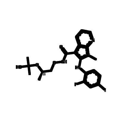 C[C@H](CONC(=O)c1c(Nc2ccc(I)cc2F)n(C)c2ncccc12)OC(C)(C)O